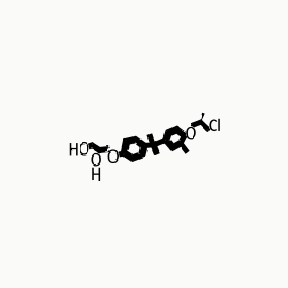 Cc1cc(C(C)(C)c2ccc(OC[C@@H](O)CO)cc2)ccc1OC[C@@H](C)CCl